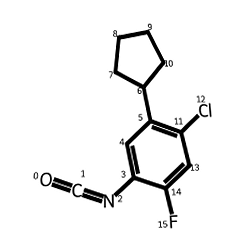 O=C=Nc1cc(C2CCCC2)c(Cl)cc1F